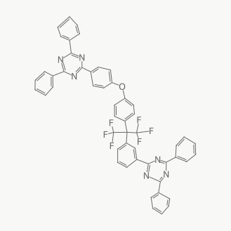 FC(F)(F)C(c1ccc(Oc2ccc(-c3nc(-c4ccccc4)nc(-c4ccccc4)n3)cc2)cc1)(c1cccc(-c2nc(-c3ccccc3)nc(-c3ccccc3)n2)c1)C(F)(F)F